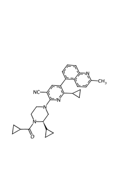 Cc1ccc2c(-c3cc(C#N)c(N4CCN(C(=O)C5CC5)[C@H](C5CC5)C4)nc3C3CC3)cccc2n1